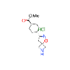 COC(=O)[C@H]1CC[C@H](C2=NOC3(CNC3)C2)CC1.Cl